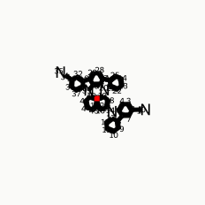 N#Cc1ccc2c(c1)c1ccccc1n2-c1cccc(-n2c3ccccc3c3ccc4c5cc(C#N)ccc5n(-c5ccccc5)c4c32)c1